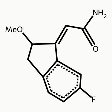 COC1Cc2ccc(F)cc2C1=CC(N)=O